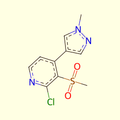 Cn1cc(-c2ccnc(Cl)c2S(C)(=O)=O)cn1